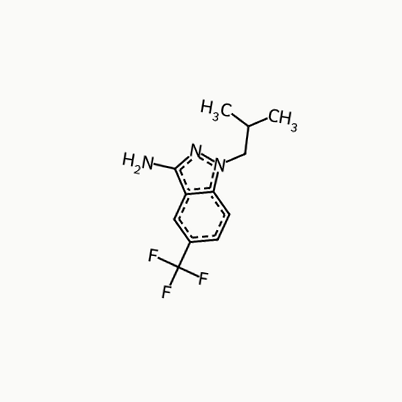 CC(C)Cn1nc(N)c2cc(C(F)(F)F)ccc21